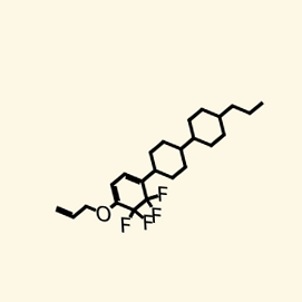 C=CCOC1=CC=C(C2CCC(C3CCC(CCC)CC3)CC2)C(F)(F)C1(F)F